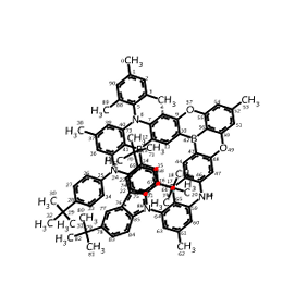 Cc1cc(C)c(N2c3cc4c(cc3B3c5cc(C(C)(C)C)ccc5N(c5ccc(C(C)(C)C)cc5)c5cc(C)cc2c53)B2c3cc5c(cc3Oc3cc(C)cc(c32)O4)Nc2cc(C)cc3c2B5c2cc(C(C)(C)C)cc4c5cc(C(C)(C)C)ccc5n-3c24)c(C)c1